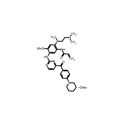 C=CC(=O)Nc1cc(Nc2nccc(C(=O)c3ccc(N4CCC[C@@H](OC)C4)cc3)n2)c(OC)cc1N(C)CCN(C)C